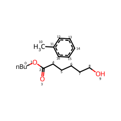 CCCCOC(=O)CCCCCO.Cc1ccccc1